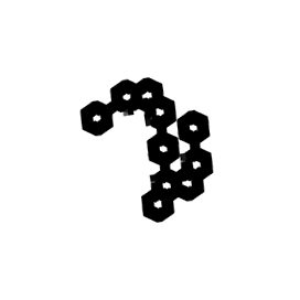 c1ccc(-c2ccc3ccc4ccc(-c5ccc(-c6nc7ccccc7c7ccc8ccc(-c9ccccc9)nc8c67)cc5)nc4c3n2)cc1